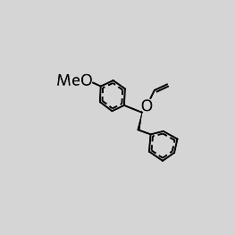 C=CO[C@@H](Cc1ccccc1)c1ccc(OC)cc1